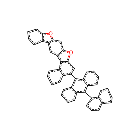 c1ccc2c(-c3c4ccccc4c(-c4cc5oc6cc7oc8ccccc8c7cc6c5c5ccccc45)c4ccccc34)cccc2c1